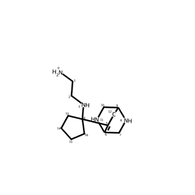 NCCNC1(C2=C3CNC(CN3)C2)CCCC1